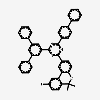 CC1(C)Oc2ccc(-c3nc(-c4ccc(-c5ccccc5)cc4)nc(-c4cc(-c5ccccc5)cc(-c5ccccc5)c4)n3)cc2-c2cc(F)ccc21